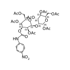 CC(=O)OC[C@H]1O[C@H](OC(C)=O)[C@H](O[C@@H]2O[C@H](COC(C)=O)[C@@H](OC(C)=O)[C@H](OC(=O)Nc3ccc([N+](=O)[O-])cc3)[C@@H]2OC(C)=O)[C@H](OC(C)=O)[C@H]1OC(C)=O